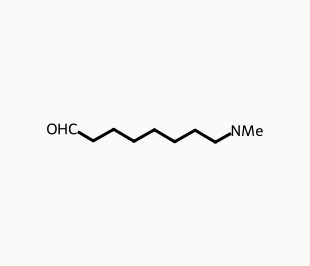 CNCCCCCCCC=O